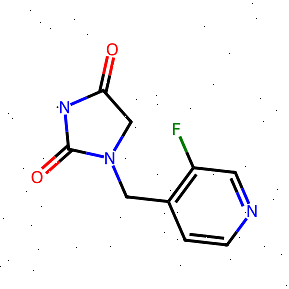 O=C1CN(Cc2ccncc2F)C(=O)[N]1